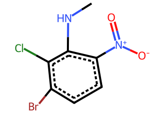 CNc1c([N+](=O)[O-])ccc(Br)c1Cl